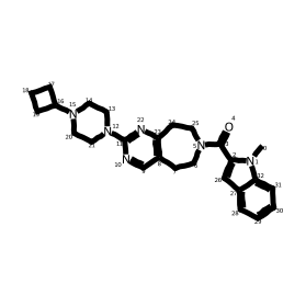 Cn1c(C(=O)N2CCc3cnc(N4CCN(C5CCC5)CC4)nc3CC2)cc2ccccc21